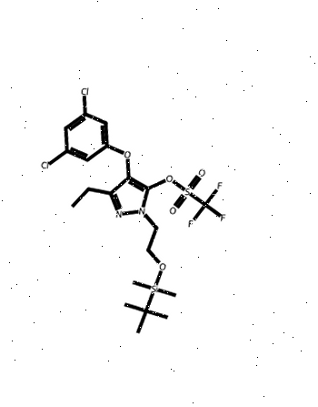 CCc1nn(CCO[Si](C)(C)C(C)(C)C)c(OS(=O)(=O)C(F)(F)F)c1Oc1cc(Cl)cc(Cl)c1